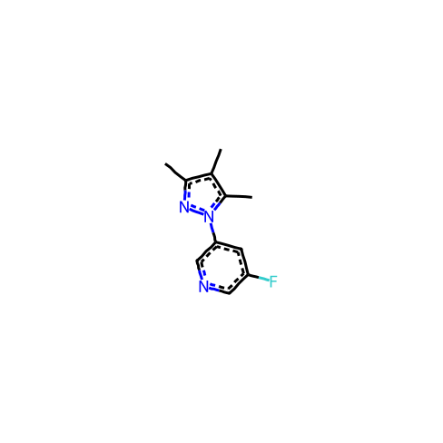 Cc1nn(-c2cncc(F)c2)c(C)c1C